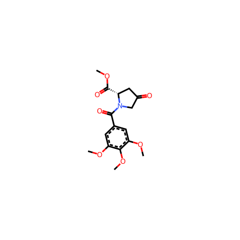 COC(=O)[C@@H]1CC(=O)CN1C(=O)c1cc(OC)c(OC)c(OC)c1